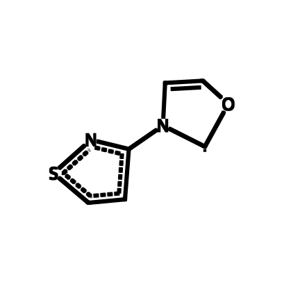 [CH]1OC=CN1c1ccsn1